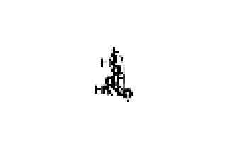 CC(C)CC(=O)Nc1cncc(-c2ccc3[nH]nc(-c4cc5ncccc5[nH]4)c3n2)c1